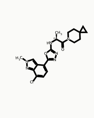 C[C@H](Nc1nnc(-c2ccc(Cl)c3nn(C)cc23)o1)C(=O)N1CCC2(CC1)CC2